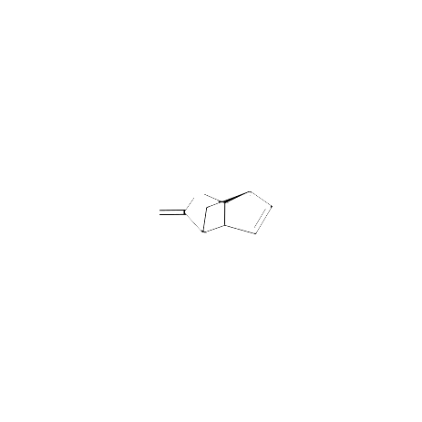 O=C1OC2C3C=CC2C1C3